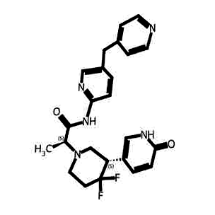 C[C@@H](C(=O)Nc1ccc(Cc2ccncc2)cn1)N1CCC(F)(F)[C@@H](c2ccc(=O)[nH]c2)C1